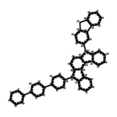 c1ccc(-c2ccc(-c3ccc(-n4c5ccccc5c5c6c7ccccc7n(-c7ccc8c(c7)-c7ccccc7C8)c6ccc54)cc3)cc2)cc1